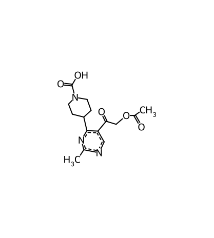 CC(=O)OCC(=O)c1cnc(C)nc1C1CCN(C(=O)O)CC1